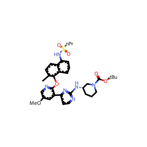 CCCS(=O)(=O)Nc1cccc2c(Oc3ncc(OC)cc3-c3ccnc(N[C@H]4CCCN(C(=O)OC(C)(C)C)C4)n3)c(C)ccc12